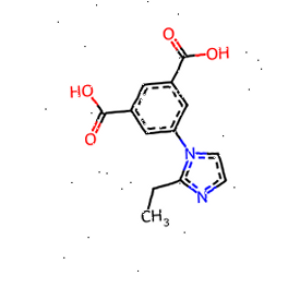 CCc1nccn1-c1cc(C(=O)O)cc(C(=O)O)c1